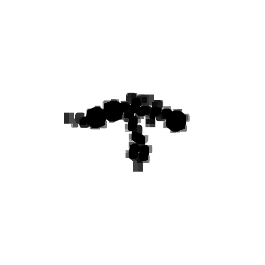 COc1ccc(-c2ccc(CN(OCCOCCN3CCNCC3)[C@H](CCNC(=O)OCc3ccccc3)C(=O)O)cc2)cc1